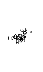 CC(C)(C)[C@H](NC(=O)c1ccc(N)c(Cl)c1)C(=O)N1CCC[C@H]1CN[C@H](C=O)CC(=O)O